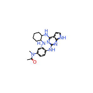 CC(=O)N(C)c1ccc(Nc2nc(NC3CCCCC3N)c3cc[nH]c3n2)cc1